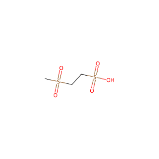 CS(=O)(=O)CCS(=O)(=O)O